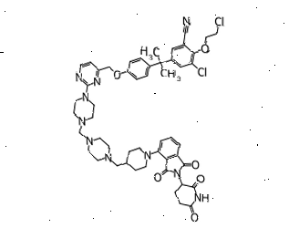 CC(C)(c1ccc(OCc2ccnc(N3CCN(CN4CCN(CC5CCN(c6cccc7c6C(=O)N(C6CCC(=O)NC6=O)C7=O)CC5)CC4)CC3)n2)cc1)c1cc(Cl)c(OCCCl)c(C#N)c1